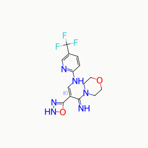 N=C(/C(=C\Nc1ccc(C(F)(F)F)cn1)c1n[nH]o1)N1CCOCC1